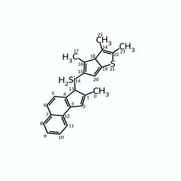 CC1=Cc2c(ccc3ccccc23)C1[SiH2]C1=C(C)C2C(=C1)SC(C)=C2C